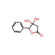 O=C1CC(O)(O)C(c2ccccc2)O1